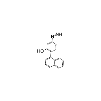 N=Nc1ccc(-c2cccc3ccccc23)c(O)c1